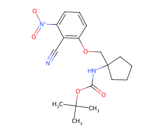 CC(C)(C)OC(=O)NC1(COc2cccc([N+](=O)[O-])c2C#N)CCCC1